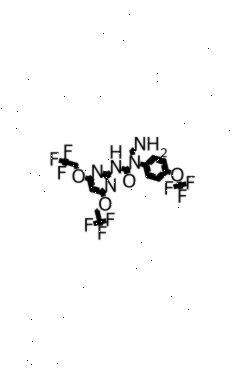 NCN(C(=O)Nc1nc(OCC(F)(F)F)cc(OCC(F)(F)F)n1)c1ccc(OC(F)(F)F)cc1